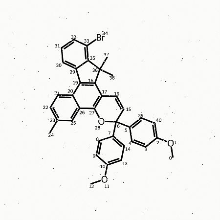 COc1ccc(C2(c3ccc(OC)cc3)C=Cc3c4c(c5ccc(C)cc5c3O2)-c2cccc(Br)c2C4(C)C)cc1